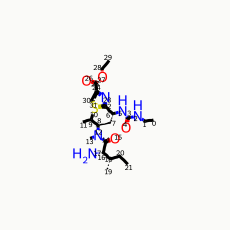 CCNC(=O)N[C@H](C[C@H](C(C)C)N(C)C(=O)[C@@H](N)[C@@H](C)CC)c1nc(C(=O)OCC)cs1